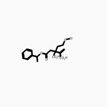 C=C(C(=O)O)C(CCOCC)(CC(=O)OC(C)c1ccccc1)C(=O)O